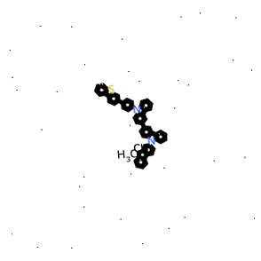 CC1(C)c2ccccc2-c2ccc(-n3c4ccccc4c4cc(-c5ccc6c(c5)c5ccccc5n6-c5ccc(-c6ccc7c(c6)sc6ccccc67)cc5)ccc43)cc21